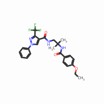 CCOc1ccc(C(=O)NC(C)(C)CNC(=O)c2cn(-c3ccccc3)nc2C(F)(F)F)cc1